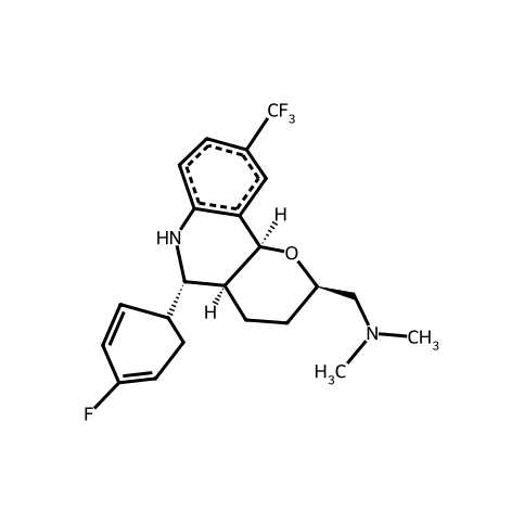 CN(C)C[C@H]1CC[C@@H]2[C@H](O1)c1cc(C(F)(F)F)ccc1N[C@H]2C1C=CC(F)=CC1